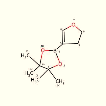 CC1(C)OB(C2=COCC2)OC1(C)C